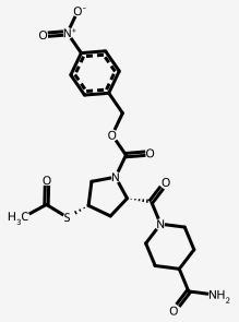 CC(=O)S[C@H]1C[C@@H](C(=O)N2CCC(C(N)=O)CC2)N(C(=O)OCc2ccc([N+](=O)[O-])cc2)C1